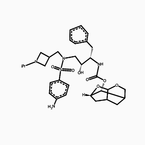 CC(C)N1CC(CN(C[C@@H](O)[C@H](Cc2ccccc2)NC(=O)O[C@@H]2C3COC4O[C@H]2CC4C3)S(=O)(=O)c2ccc(N)cc2)C1